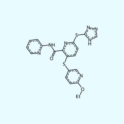 CCOc1ccc(Sc2ccc(Sc3nnc[nH]3)nc2C(=O)Nc2ccccn2)cn1